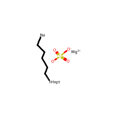 CCCCCCCCCCC[CH2][Na].O=S(=O)([O-])[O-].[Mg+2]